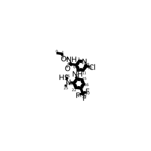 CCONC(=O)c1cnc(Cl)cc1Nc1ccc(C(F)(F)F)cc1N(C)S